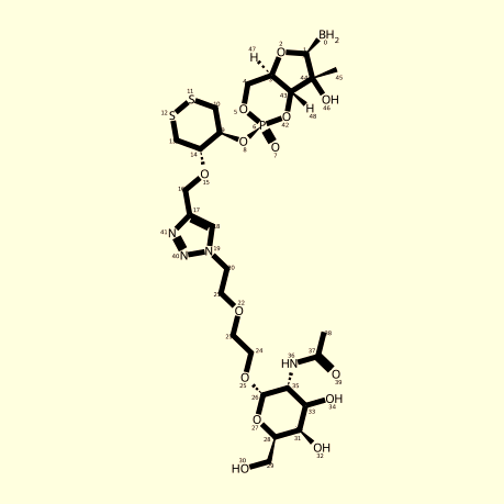 B[C@@H]1O[C@@H]2CO[P@](=O)(O[C@@H]3CSSC[C@H]3OCc3cn(CCOCCO[C@H]4O[C@H](CO)[C@H](O)C(O)[C@H]4NC(C)=O)nn3)O[C@H]2[C@@]1(C)O